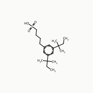 CCC(C)(C)c1cc(CCCCS(=O)(=O)O)cc(C(C)(C)CC)c1